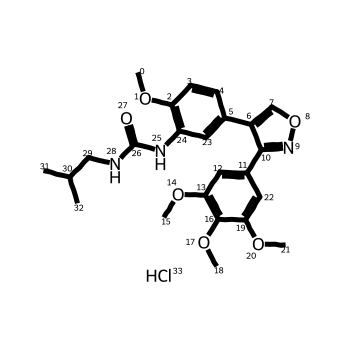 COc1ccc(-c2conc2-c2cc(OC)c(OC)c(OC)c2)cc1NC(=O)NCC(C)C.Cl